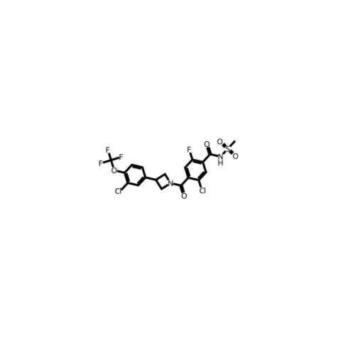 CS(=O)(=O)NC(=O)c1cc(Cl)c(C(=O)N2CC(c3ccc(OC(F)(F)F)c(Cl)c3)C2)cc1F